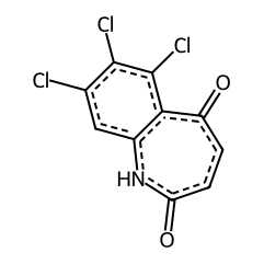 O=c1ccc(=O)c2c(Cl)c(Cl)c(Cl)cc2[nH]1